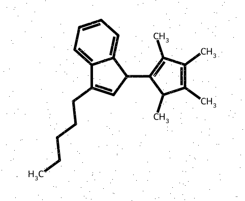 CCCCCC1=C[C](C2=C(C)C(C)=C(C)C2C)c2ccccc21